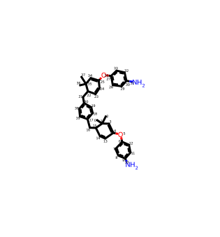 CC1(C)C=C(Oc2ccc(N)cc2)C=CC1Cc1ccc(CC2C=CC(Oc3ccc(N)cc3)=CC2(C)C)cc1